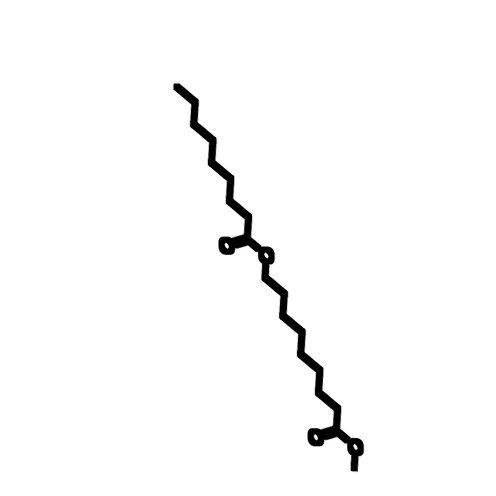 CCCCCCCCC(=O)OCCCCCCCCC(=O)OC